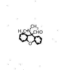 CN(C)C1(C=O)c2ccccc2Oc2ccccc21